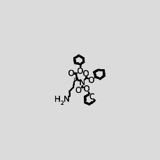 NCCCC[C@@H](C(=O)Oc1ccccc1)N(C(=O)Oc1ccccc1)C(=O)Oc1ccccc1